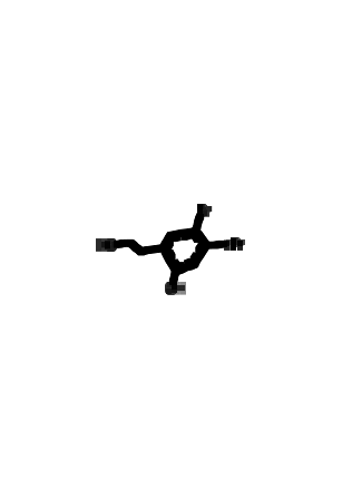 CCCc1cc(O)c(CCO)cc1Br